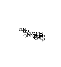 CC1(C)OB(c2ccc3c(c2)nc(-c2ccccc2)c2c4ccc(-c5ccccc5)nc4ccc32)OC1(C)C